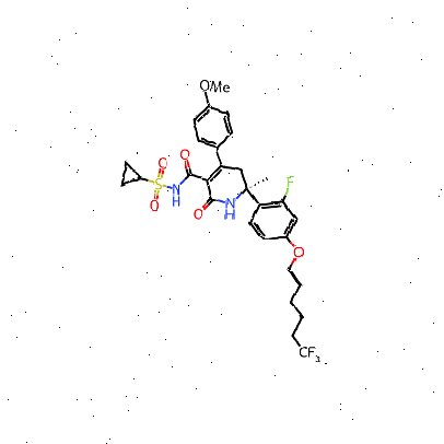 COc1ccc(C2=C(C(=O)NS(=O)(=O)C3CC3)C(=O)N[C@](C)(c3ccc(OCCCCCC(F)(F)F)cc3F)C2)cc1